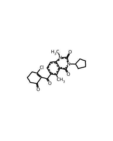 Cc1c(C(=O)C2=C(Cl)CCCC2=O)ccc2c1c(=O)n(C1CCCC1)c(=O)n2C